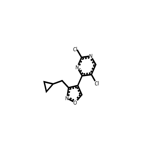 Clc1ncc(Cl)c(-c2conc2CC2CC2)n1